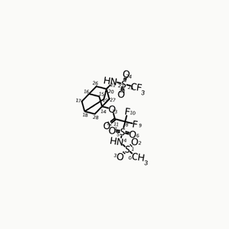 CS(=O)(=O)NS(=O)(=O)C(F)(F)C(=O)OC12CC3CC(CC(NS(=O)(=O)C(F)(F)F)(C3)C1)C2